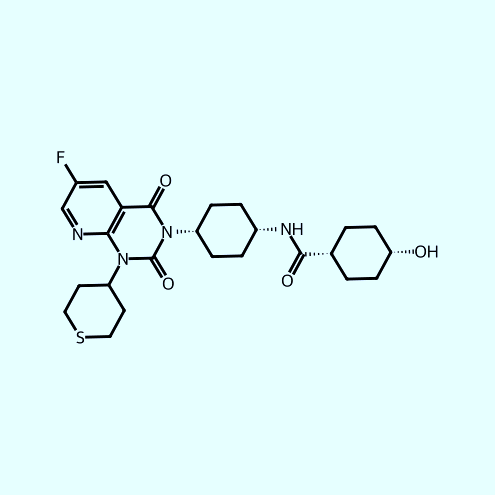 O=c1c2cc(F)cnc2n(C2CCSCC2)c(=O)n1[C@H]1CC[C@@H](NC(=O)[C@H]2CC[C@@H](O)CC2)CC1